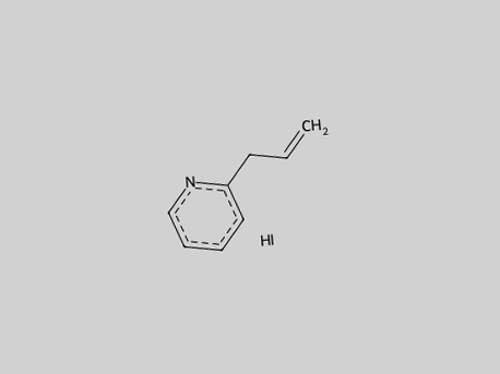 C=CCc1ccccn1.I